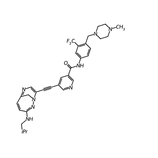 CC(C)CNC1=NN2CC(=NC=C2C#Cc2cncc(C(=O)Nc3ccc(CN4CCN(C)CC4)c(C(F)(F)F)c3)c2)C=C1